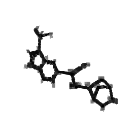 CN(C)c1coc2cnc(C(=O)NC3CC4CC3CN4)cc12